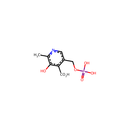 Cc1ncc(COP(=O)(O)O)c(C(=O)O)c1O